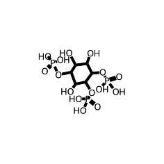 O=P(O)(O)OC1C(O)C(O)C(OP(=O)(O)O)C(OP(=O)(O)O)C1O